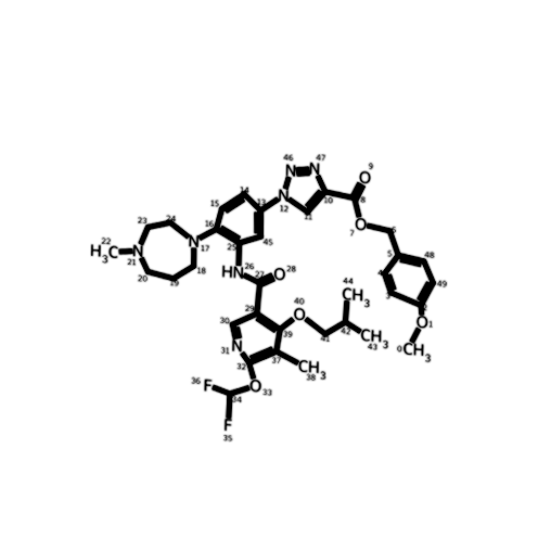 COc1ccc(COC(=O)c2cn(-c3ccc(N4CCCN(C)CC4)c(NC(=O)c4cnc(OC(F)F)c(C)c4OCC(C)C)c3)nn2)cc1